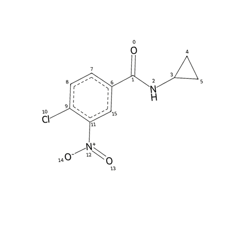 O=C(NC1CC1)c1ccc(Cl)c([N+](=O)[O-])c1